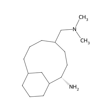 CN(C)CC1CCCC2CCCC(C2)[C@@H](N)CC1